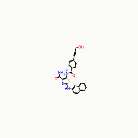 NC(=O)c1nc(Nc2ccc3ccccc3c2)sc1NC(=O)c1ccc(C#CCO)cc1